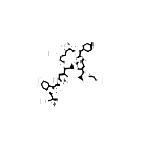 CCc1nocc1C(=O)N[C@H](c1cn2ncc([C@H](NC(=O)CC(Cc3nonc3C(=O)N[C@H](c3cn4ncc([C@H](NC(=O)CCC(F)(F)F)C5CC5)cc4n3)C3CCC(F)(F)CC3)C(F)(F)F)C3CC3)cc2n1)C1CCC(F)(F)CC1